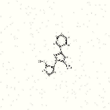 O=Cc1sccc1-n1nc(-c2ccccc2)cc1C(F)(F)F